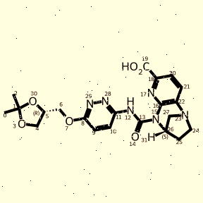 CC1(C)OC[C@@H](COc2ccc(NC(=O)N3c4nc(C(=O)O)ccc4N4CC[C@H]3C4)nn2)O1